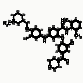 Cc1cccc(C)c1NC(=O)c1cnc(Nc2ccc(OCC3CCCN(C)C3)c(F)c2)nc1Oc1ccc(C(=O)N2CCOCC2)cc1Cl